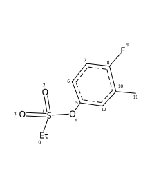 CCS(=O)(=O)Oc1ccc(F)c(C)c1